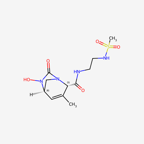 CC1=C[C@@H]2CN(C(=O)N2O)[C@@H]1C(=O)NCCNS(C)(=O)=O